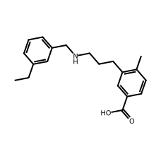 CCc1cccc(CNCCCc2cc(C(=O)O)ccc2C)c1